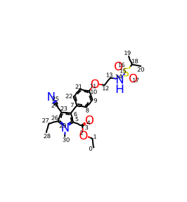 CCOC(=O)c1c(-c2ccc(OCCNS(=O)(=O)C(C)C)cc2)c(C#N)c(CC)n1C